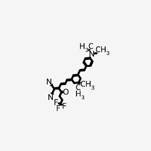 CCN(CC)c1ccc(/C=C/C2=CC(=C/C=C/C(C(=O)CCC(F)(F)F)=C(C#N)C#N)/CC(C)(C)C2)cc1